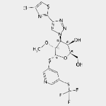 CO[C@@H]1[C@@H](n2cc(-c3nc(Cl)cs3)nn2)[C@@H](O)[C@@H](CO)O[C@@H]1Sc1cncc(SC(F)(F)F)c1